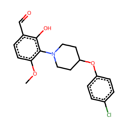 COc1ccc(C=O)c(O)c1N1CCC(Oc2ccc(Cl)cc2)CC1